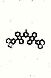 Cc1cc(-c2c3ccccc3c(-c3cc4c5c(c3)CCCN5CCC4)c3ccccc23)cc(-c2c3ccccc3c(-c3cc4c5c(c3)CCCN5CCC4)c3ccccc23)c1